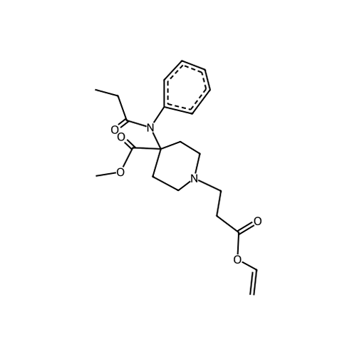 C=COC(=O)CCN1CCC(C(=O)OC)(N(C(=O)CC)c2ccccc2)CC1